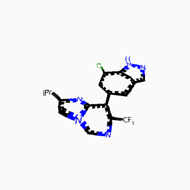 CC(C)c1cn2cnc(C(F)(F)F)c(-c3cc(Cl)c4[nH]ncc4c3)c2n1